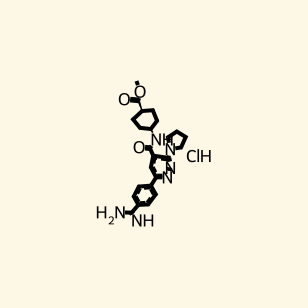 COC(=O)[C@H]1CC[C@H](NC(=O)c2cc(-c3ccc(C(=N)N)cc3)nnc2N2CCCC2)CC1.Cl